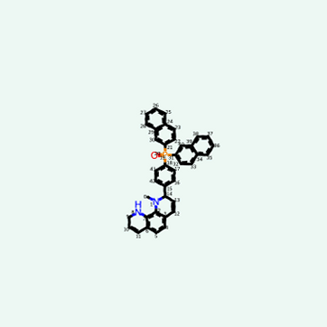 CN1c2c(ccc3c2NCC=C3)C=CC1c1ccc(P(=O)(c2ccc3ccccc3c2)c2ccc3ccccc3c2)cc1